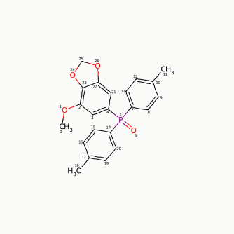 COc1cc(P(=O)(c2ccc(C)cc2)c2ccc(C)cc2)cc2c1OCO2